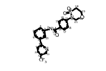 O=C(Nc1cccc(-c2ccc(C(F)(F)F)cn2)c1)c1ccc(N2COCCS2(=O)=O)cc1